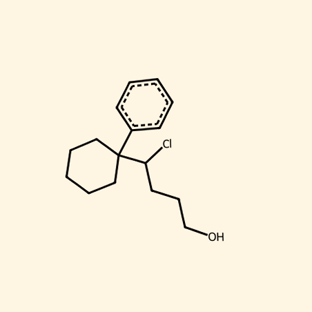 OCCCC(Cl)C1(c2ccccc2)CCCCC1